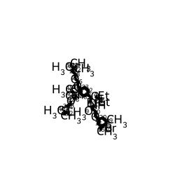 CC[Si](CC)(CC)OC(CNC(=O)COc1cc(C)c(Br)c(C)c1)c1ccc(OCOCC[Si](C)(C)C)c(N(COCC[Si](C)(C)C)S(C)(=O)=O)c1